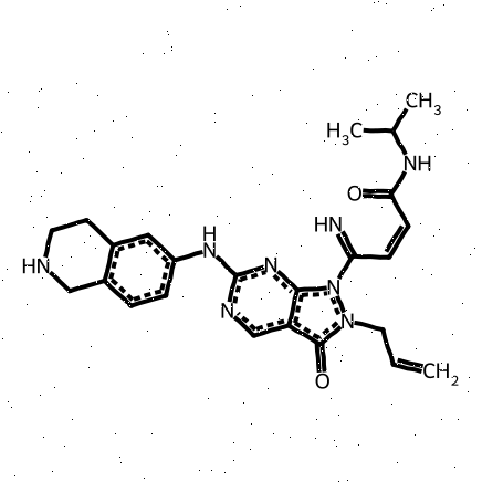 C=CCn1c(=O)c2cnc(Nc3ccc4c(c3)CCNC4)nc2n1C(=N)/C=C\C(=O)NC(C)C